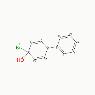 OC1(Br)C=CC(c2ccccc2)C=C1